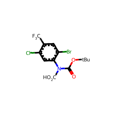 CC(C)(C)OC(=O)N(C(=O)O)c1cc(Cl)c(C(F)(F)F)cc1Br